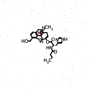 CCCC(=O)N[C@@H](Cc1c[nH]cn1)C(=O)OC1=CC[C@@]2(O)[C@H]3Cc4ccc(CO)c5c4[C@@]2(CCN3C)[C@H]1O5